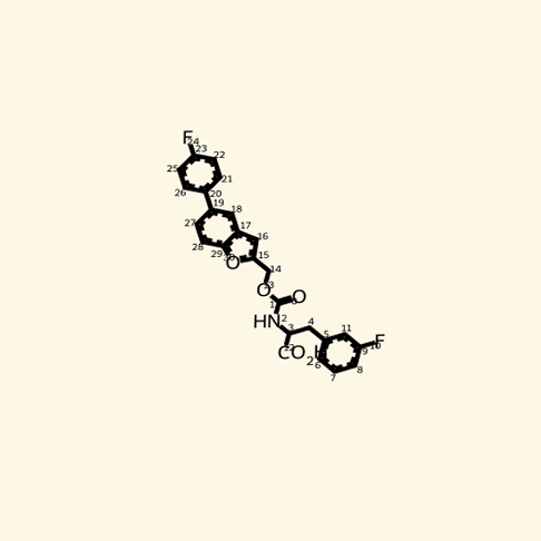 O=C(NC(Cc1cccc(F)c1)C(=O)O)OCc1cc2cc(-c3ccc(F)cc3)ccc2o1